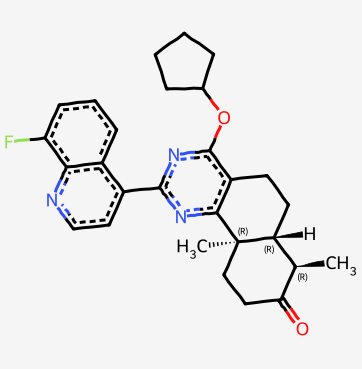 C[C@H]1C(=O)CC[C@@]2(C)c3nc(-c4ccnc5c(F)cccc45)nc(OC4CCCC4)c3CC[C@H]12